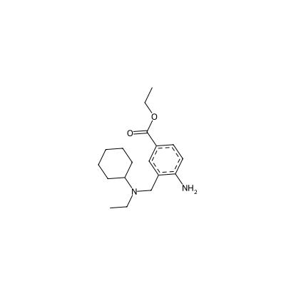 CCOC(=O)c1ccc(N)c(CN(CC)C2CCCCC2)c1